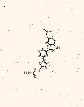 CC(C)Oc1ccc2[nH]nc(-c3nccc(-c4ccc(CCC(N)=O)o4)n3)c2c1